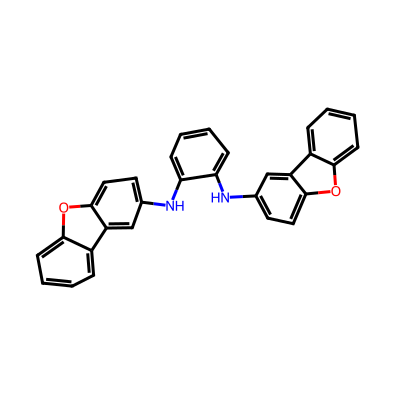 c1ccc(Nc2ccc3oc4ccccc4c3c2)c(Nc2ccc3oc4ccccc4c3c2)c1